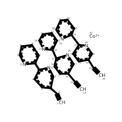 C#Cc1ccc(-c2ccccn2)nc1.C#Cc1ccc(-c2ccccn2)nc1.C#Cc1ccc(-c2ccccn2)nc1.[Co+3]